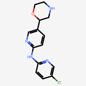 Clc1ccc(Nc2ccc(C3CNCCO3)cn2)nc1